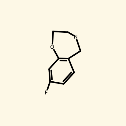 Fc1ccc2c(c1)OCC[N]C2